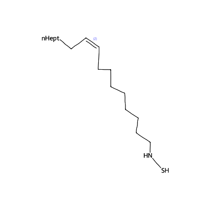 CCCCCCCC/C=C\CCCCCCCCNS